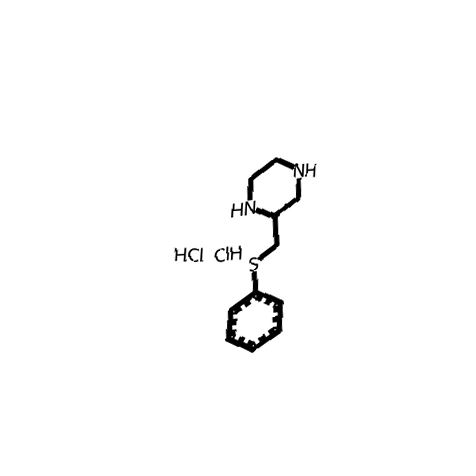 Cl.Cl.c1ccc(SCC2CNCCN2)cc1